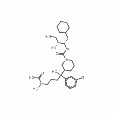 CN(CCC[C@@](O)(c1cccc(Cl)c1)[C@@H]1CCCN(C(=O)N[C@@H](CC2CCCCC2)[C@H](O)CN)C1)C(=O)O